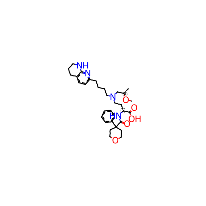 CO[C@H](C)CN(CCCCc1ccc2c(n1)NCCC2)CC[C@H](NC(=O)C1(c2ccccc2)CCOCC1)C(=O)O